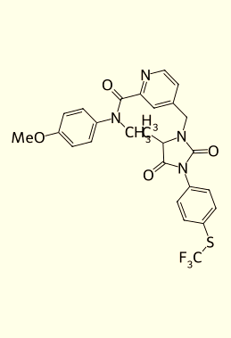 COc1ccc(N(C)C(=O)c2cc(CN3C(=O)N(c4ccc(SC(F)(F)F)cc4)C(=O)C3C)ccn2)cc1